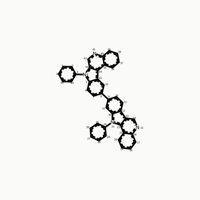 c1ccc(-n2c3ccc(-c4ccc5c6cnc7ccccc7c6n(-c6ccccc6)c5c4)cc3c3c4ccccc4ncc32)cc1